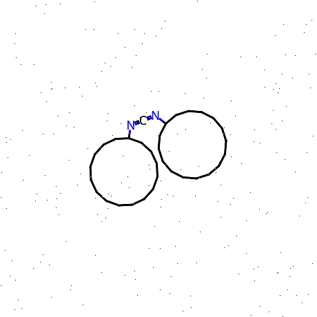 C(=NC1CCCCCCCCCCCCCCC1)=NC1CCCCCCCCCCCCCCC1